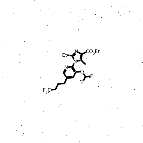 CCOC(=O)c1nc(CC)n(-c2ncc(CCCC(F)(F)F)cc2OC(F)F)c1C